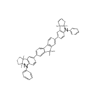 CC1(C)c2cc(-c3ccc4c(c3)C3(C)CCCC3(C)N4c3ccccc3)ccc2-c2ccc(-c3ccc4c(c3)C3(C)CCCC3(C)N4c3ccccc3)cc21